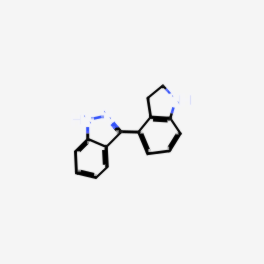 c1cc2c(c(-c3n[nH]c4ccccc34)c1)CCN2